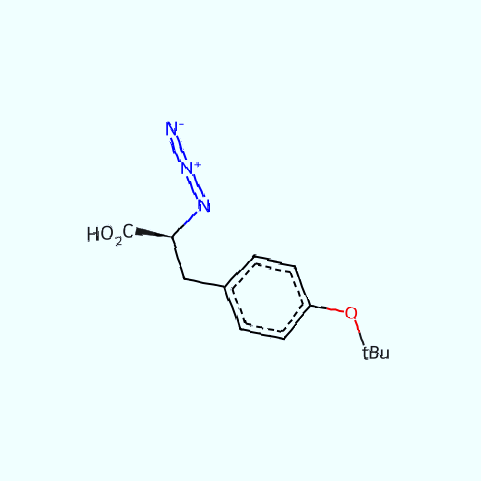 CC(C)(C)Oc1ccc(C[C@H](N=[N+]=[N-])C(=O)O)cc1